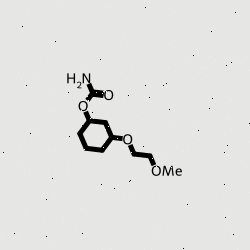 COCCOC1CCCC(OC(N)=O)C1